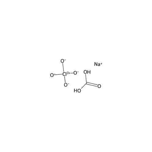 O=C(O)O.[Na+].[O-][Cl+3]([O-])([O-])[O-]